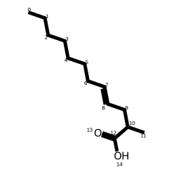 CCCCCCC/C=C/CC(C)C(=O)O